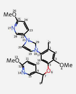 [CH2]c1cc(OC)c(OC(C)c2ccc(OC)nc2)cc1N1C=CN(c2ccc(OC)nc2)C1